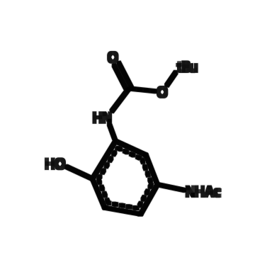 CC(=O)Nc1ccc(O)c(NC(=O)OC(C)(C)C)c1